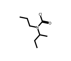 CCCN(C(=O)Cl)C(C)CC